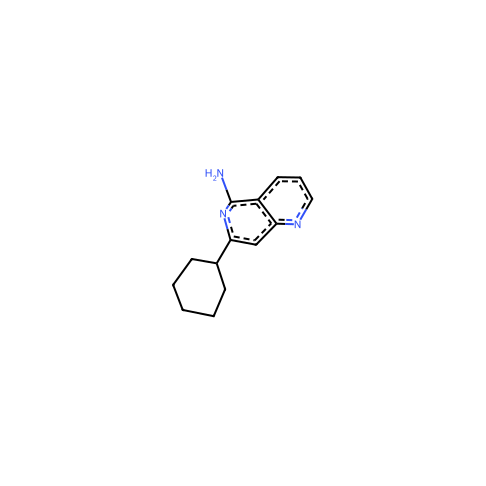 Nc1nc(C2CCCCC2)cc2ncccc12